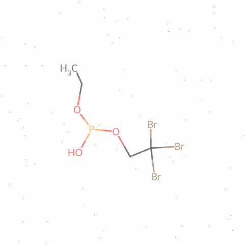 CCOP(O)OCC(Br)(Br)Br